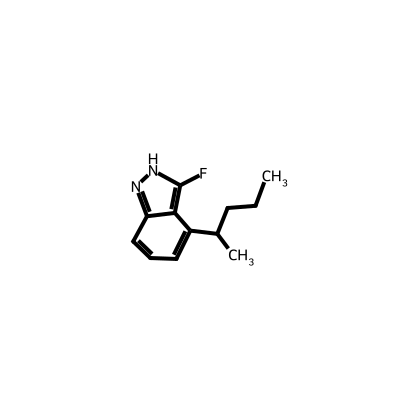 CCCC(C)c1cccc2n[nH]c(F)c12